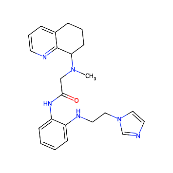 CN(CC(=O)Nc1ccccc1NCCn1ccnc1)C1CCCc2cccnc21